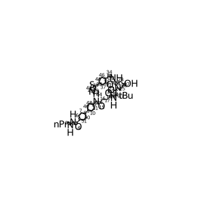 CCCNNC(=O)c1ccc(-c2ccc(NC(=O)CCC(=O)N[C@H](C(=O)N3C[C@H](O)C[C@H]3C(=O)N[C@@H](C)c3ccc(-c4scnc4C)cc3)C(C)(C)C)cc2)cc1